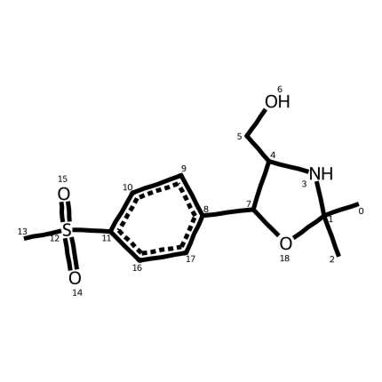 CC1(C)NC(CO)C(c2ccc(S(C)(=O)=O)cc2)O1